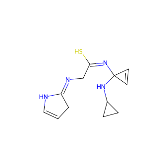 S/C(C/N=C1\CC=CN1)=N/C1(NC2CC2)C=C1